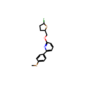 CSc1ccc(-c2cccc(OCC3CCC(F)S3)n2)cc1